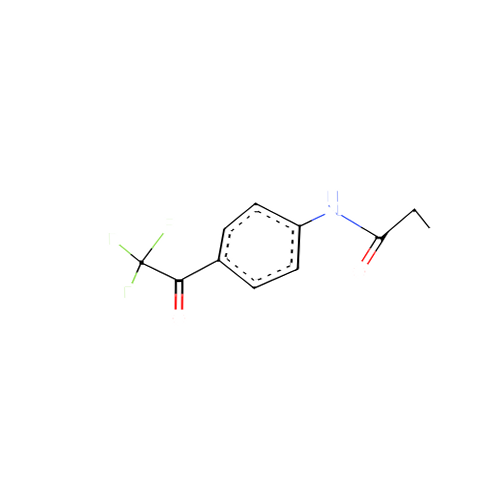 CCC(=O)Nc1ccc(C(=O)C(F)(F)F)cc1